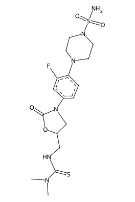 CN(C)C(=S)NCC1CN(c2ccc(N3CCN(S(N)(=O)=O)CC3)c(F)c2)C(=O)O1